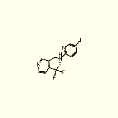 FC(F)(F)c1ccncc1CNc1ccc(I)cn1